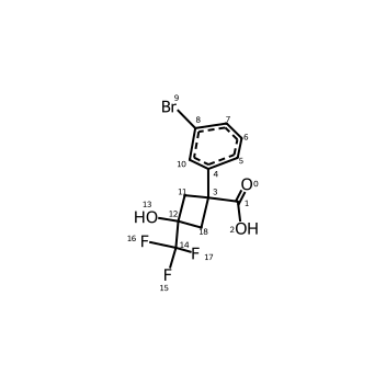 O=C(O)C1(c2cccc(Br)c2)CC(O)(C(F)(F)F)C1